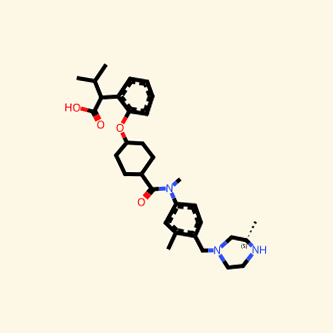 Cc1cc(N(C)C(=O)C2CCC(Oc3ccccc3C(C(=O)O)C(C)C)CC2)ccc1CN1CCN[C@@H](C)C1